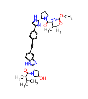 COC(=O)N[C@H](C(=O)N1CCC[C@H]1c1nc(-c2ccc(C#Cc3ccc4[nH]c([C@@H]5C[C@@H](O)CN5C(=O)[C@@H](C)C(C)C)nc4c3)cc2)c[nH]1)C(C)C